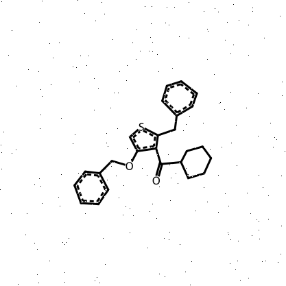 O=C(c1c(OCc2ccccc2)csc1Cc1ccccc1)C1CCCCC1